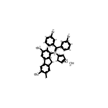 Cc1cc2c(cc1C(C)(C)C)-c1cc(C(C)(C)C)c(C)[c]([Zr]([C]3=CC=CC3)=[C](c3cccc(Br)c3)c3cccc(Br)c3)c1C2.Cl.Cl